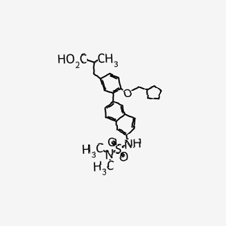 CC(Cc1ccc(OCC2CCCC2)c(-c2ccc3cc(NS(=O)(=O)N(C)C)ccc3c2)c1)C(=O)O